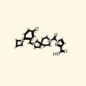 O=C(O)c1ccn(C(=O)N2CCC3(CCN(Cc4cc(Cl)ccc4N4CCC4)C3)CC2)n1